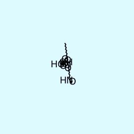 CCCCCCCCCCC(=O)O[C@@H](COCOCCCCCCCNC(C)=O)COP(=O)(O)O